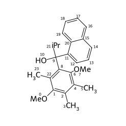 COc1c(C)c(C)c(OC)c(C(O)(c2cccc3ccccc23)C(C)C)c1C